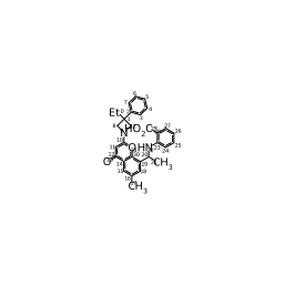 CCC1(c2ccccc2)CN(c2cc(=O)c3cc(C)cc(C(C)Nc4ccccc4C(=O)O)c3o2)C1